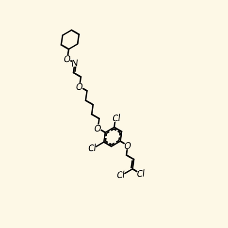 ClC(Cl)=CCOc1cc(Cl)c(OCCCCCOCC=NOC2CCCCC2)c(Cl)c1